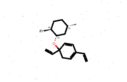 C=CC1=CCC(C=C)(O[C@H]2C[C@@H](C)CC[C@@H]2C(C)C)C=C1